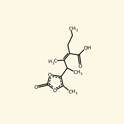 CCCC(C(=O)O)=C(C)C(C)c1oc(=O)oc1C